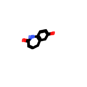 O=C1C=CC2=C(CCCC(=O)N2)C1